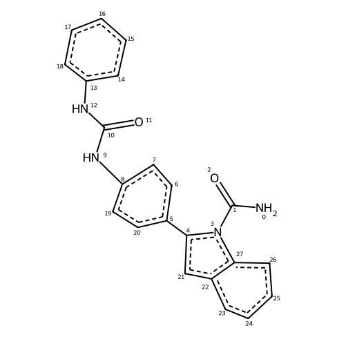 NC(=O)n1c(-c2ccc(NC(=O)Nc3ccccc3)cc2)cc2ccccc21